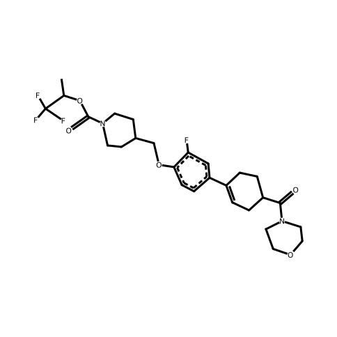 CC(OC(=O)N1CCC(COc2ccc(C3=CCC(C(=O)N4CCOCC4)CC3)cc2F)CC1)C(F)(F)F